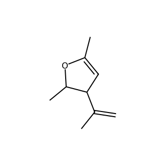 C=C(C)C1C=C(C)OC1C